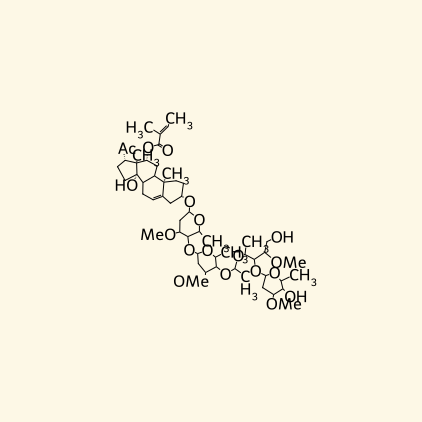 C/C=C(\C)C(=O)O[C@@H]1CC2C(CC=C3C[C@@H](OC4CC(OC)C(OC5CC(OC)C(OC(C)OC(C)C(OC6CC(OC)C(O)C(C)O6)C(CO)OC)C(C)O5)C(C)O4)CC[C@@]32C)[C@@]2(O)CC[C@H](C(C)=O)[C@@]12C